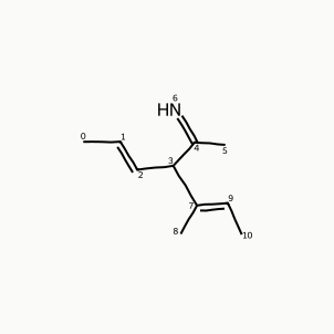 C/C=C/C(C(C)=N)/C(C)=C/C